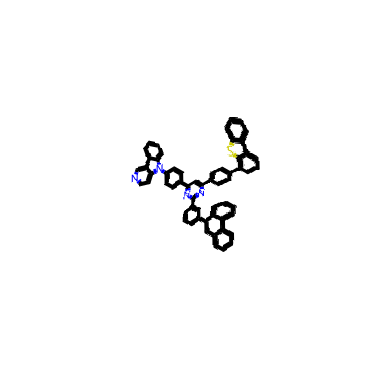 c1cc(-c2nc(-c3ccc(-c4cccc5c4sc4ccccc45)cc3)cc(-c3ccc(-n4c5ccccc5c5cnccc54)cc3)n2)cc(-c2cc3ccccc3c3ccccc23)c1